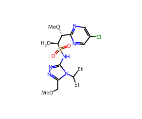 CCC(CC)n1c(COC)nnc1NS(=O)(=O)[C@@H](C)[C@H](OC)c1ncc(Cl)cn1